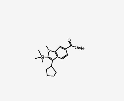 COC(=O)c1ccc2c(C3CCCC3)c([Si](C)(C)C)n(C)c2c1